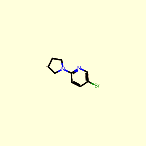 Brc1ccc(N2C[CH]CC2)nc1